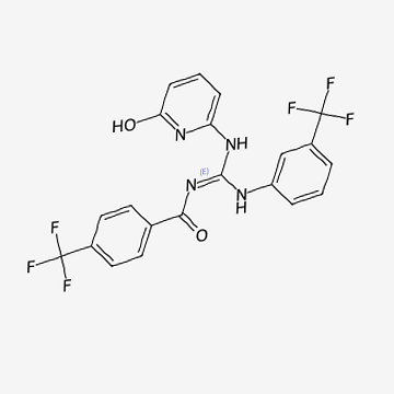 O=C(/N=C(\Nc1cccc(C(F)(F)F)c1)Nc1cccc(O)n1)c1ccc(C(F)(F)F)cc1